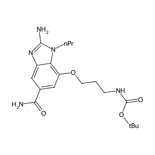 CCCn1c(N)nc2cc(C(N)=O)cc(OCCCNC(=O)OC(C)(C)C)c21